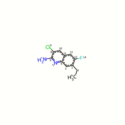 CCc1cc2nc(N)c(Cl)cc2cc1F